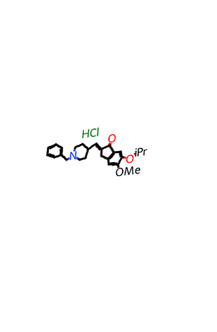 COc1cc2c(cc1OC(C)C)C(=O)C(=CC1CCN(Cc3ccccc3)CC1)C2.Cl